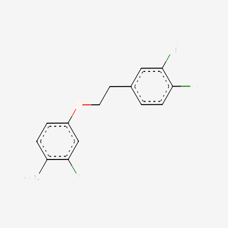 O=[N+]([O-])c1ccc(OCCc2ccc(Cl)c(Cl)c2)cc1F